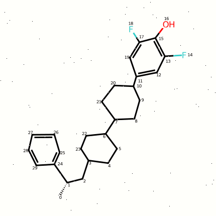 C[C@@H](CC1CCC(C2CCC(c3cc(F)c(O)c(F)c3)CC2)CC1)c1ccccc1